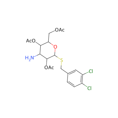 CC(=O)OCC1OC(SCc2ccc(Cl)c(Cl)c2)C(OC(C)=O)C(N)C1OC(C)=O